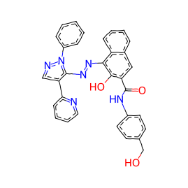 O=C(Nc1ccc(CO)cc1)c1cc2ccccc2c(/N=N/c2c(-c3ccccn3)cnn2-c2ccccc2)c1O